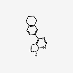 c1nc(-c2ccc3c(c2)CCCC3)c2cn[nH]c2n1